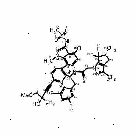 COCC(C)(O)C#Cc1ccc(-c2ccc(Cl)c3c(NS(C)(=O)=O)nn(C)c23)c([C@H](Cc2cc(F)cc(F)c2)NC(=O)Cn2nc(C(F)(F)F)c3c2C(F)(F)[C@H](C)C3)n1